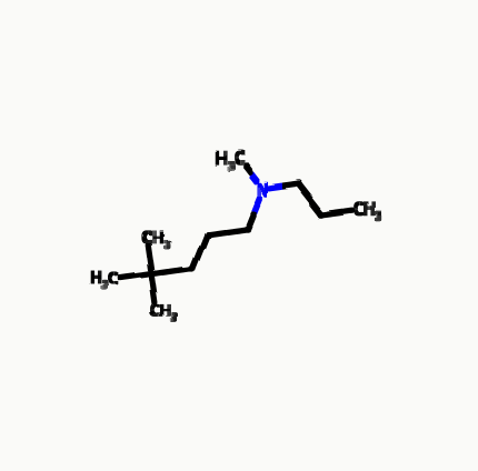 CCCN(C)CCCC(C)(C)C